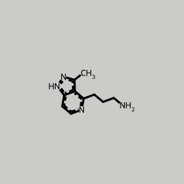 Cc1n[nH]c2ccnc(CCCN)c12